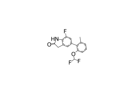 Cc1cccc(OC(F)F)c1-c1cc(F)c2c(c1)CC(=O)N2